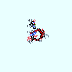 CO[C@H]1/C=C/O[C@@]2(C)Oc3c(C)c(O)c4c(O)c(c(/C=N/N5CCN(CC6CCN(c7c(F)cn8c(=O)c(C)cc(C9CC9)c8c7C)C6)CC5)c(O)c4c3C2=O)NC(=O)/C(C)=C\C=C\[C@H](C)[C@H](O)[C@@H](C)[C@@H](O)[C@@H](C)[C@H](OC(C)=O)[C@@H]1C